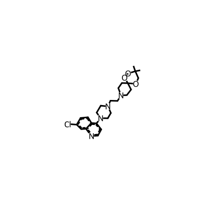 CC1(C)COC2(CCN(CCN3CCN(c4ccnc5cc(Cl)ccc45)CC3)CC2)OO1